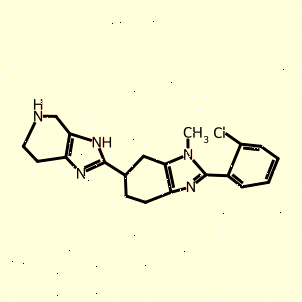 Cn1c(-c2ccccc2Cl)nc2c1CC(c1nc3c([nH]1)CNCC3)CC2